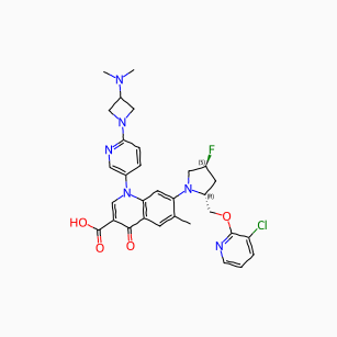 Cc1cc2c(=O)c(C(=O)O)cn(-c3ccc(N4CC(N(C)C)C4)nc3)c2cc1N1C[C@@H](F)C[C@@H]1COc1ncccc1Cl